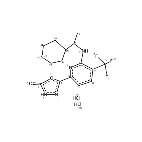 CC(Nc1nc(-c2n[nH]c(=O)o2)ccc1C(F)(F)F)C1CCNCC1.Cl.Cl